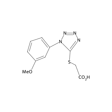 COc1cccc(-n2nnnc2SCC(=O)O)c1